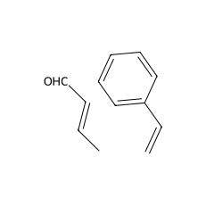 C=Cc1ccccc1.CC=CC=O